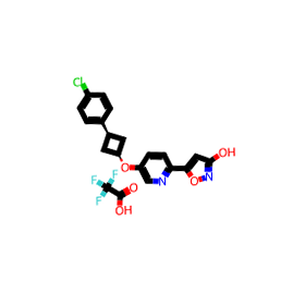 O=C(O)C(F)(F)F.Oc1cc(-c2ccc(O[C@H]3C[C@H](c4ccc(Cl)cc4)C3)cn2)on1